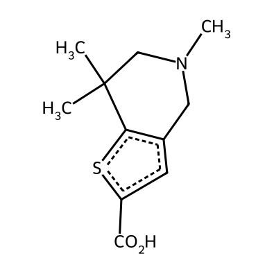 CN1Cc2cc(C(=O)O)sc2C(C)(C)C1